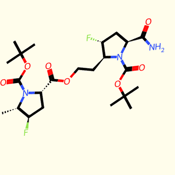 C[C@H]1[C@H](F)C[C@@H](C(=O)OCC[C@H]2[C@H](F)C[C@@H](C(N)=O)N2C(=O)OC(C)(C)C)N1C(=O)OC(C)(C)C